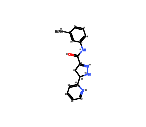 CC(=O)Nc1cccc(NC(=O)C2=NNC(c3ccccn3)C2)c1